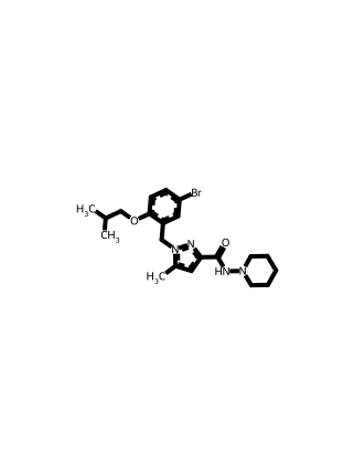 Cc1cc(C(=O)NN2CCCCC2)nn1Cc1cc(Br)ccc1OCC(C)C